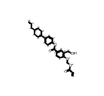 C=CC(=O)OCOc1ccc(C(=O)Oc2ccc(C3CCC(CCC)CC3)cc2)cc1CO